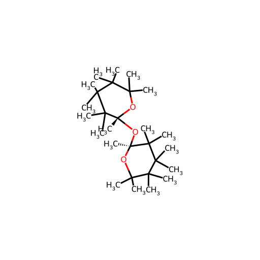 CC1(C)O[C@@](C)(O[C@@]2(C)OC(C)(C)C(C)(C)C(C)(C)C2(C)C)C(C)(C)C(C)(C)C1(C)C